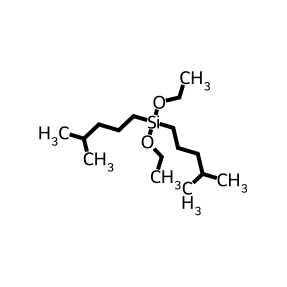 CCO[Si](CCCC(C)C)(CCCC(C)C)OCC